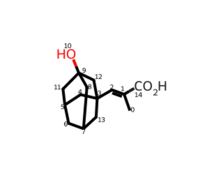 C/C(=C\C12CC3CC(CC(O)(C3)C1)C2)C(=O)O